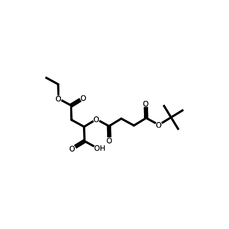 CCOC(=O)CC(OC(=O)CCC(=O)OC(C)(C)C)C(=O)O